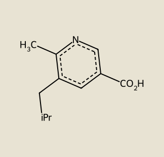 Cc1ncc(C(=O)O)cc1CC(C)C